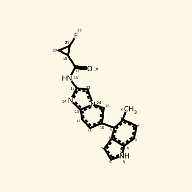 Cc1ccc2[nH]ccc2c1-c1ccc2nc(NC(=O)C3CC3F)cn2c1